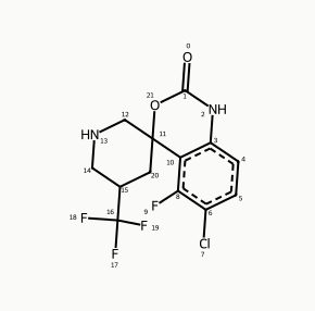 O=C1Nc2ccc(Cl)c(F)c2C2(CNCC(C(F)(F)F)C2)O1